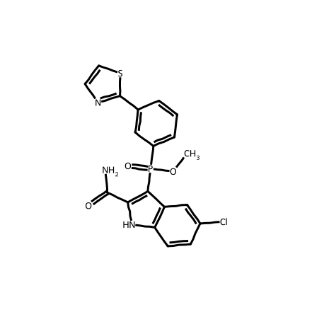 COP(=O)(c1cccc(-c2nccs2)c1)c1c(C(N)=O)[nH]c2ccc(Cl)cc12